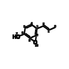 CC=Cc1ccc(O)c2c1O2